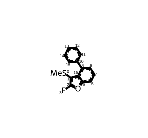 CSc1c(F)oc2cccc(-c3ccccc3)c12